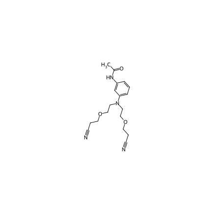 CC(=O)Nc1cccc(N(CCOCCC#N)CCOCCC#N)c1